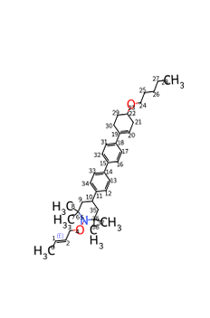 C/C=C/CON1C(C)(C)CC(c2ccc(-c3ccc(C4=CCC(OCCCCC)CC4)cc3)cc2)CC1(C)C